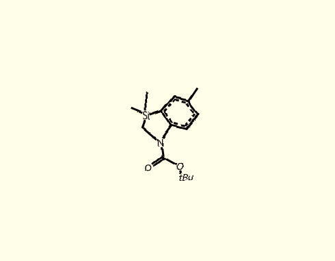 Cc1ccc2c(c1)[Si](C)(C)CN2C(=O)OC(C)(C)C